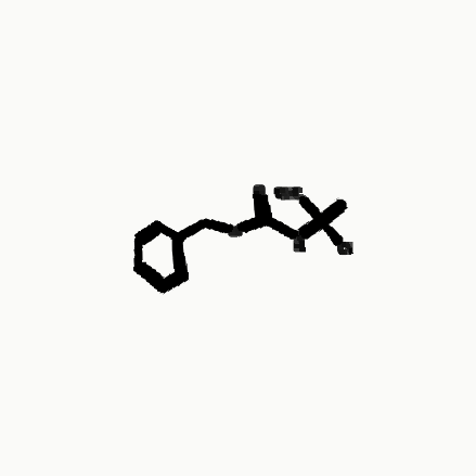 C[C@@](C#N)(C=O)NC(=O)OCc1ccccc1